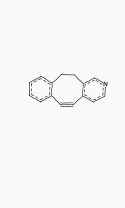 C1#Cc2ccncc2CCc2ccccc21